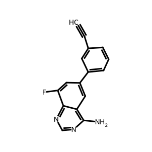 C#Cc1cccc(-c2cc(F)c3ncnc(N)c3c2)c1